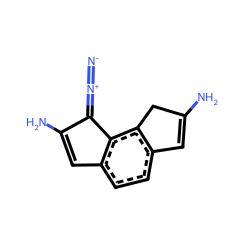 [N-]=[N+]=C1C(N)=Cc2ccc3c(c21)CC(N)=C3